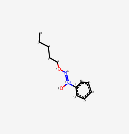 CCCCCO/N=[N+](\[O-])c1ccccc1